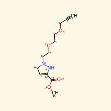 C#CCOCCOCCN1CC=C(C(=O)OC)N1